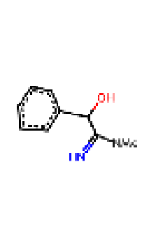 CNC(=N)C(O)c1ccccc1